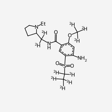 [2H]C([2H])([2H])Oc1cc(N)c(S(=O)(=O)C([2H])([2H])C([2H])([2H])[2H])cc1C(=O)NC([2H])([2H])C1CCCN1CC